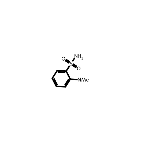 [CH2+][N-]c1ccccc1S(N)(=O)=O